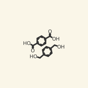 O=C(O)c1ccc(C(=O)O)cc1.OCc1ccc(CO)cc1